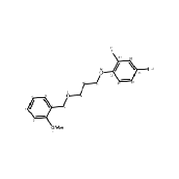 COc1ccccc1COCCCOc1ccc(I)cc1F